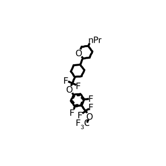 CCCC1CCC(C2CCC(C(F)(F)Oc3cc(F)c(C(F)(F)OC(F)(F)F)c(F)c3)CC2)OC1